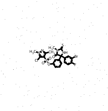 Cc1nn(C)c(Cl)c1S(=O)(=O)Oc1cccc(C2(c3ccc(F)c(Br)c3)NC(=S)N(C)C2=O)c1